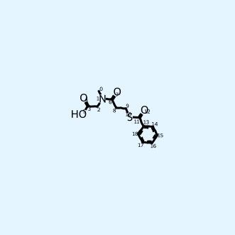 CN(CC(=O)O)C(=O)CCSC(=O)c1ccccc1